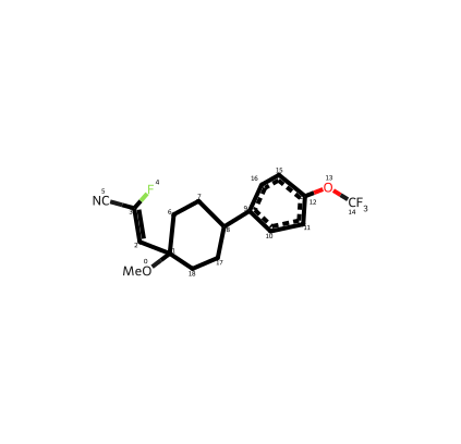 COC1(C=C(F)C#N)CCC(c2ccc(OC(F)(F)F)cc2)CC1